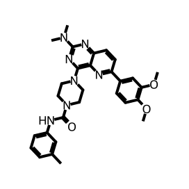 COc1ccc(-c2ccc3nc(N(C)C)nc(N4CCN(C(=O)Nc5cccc(C)c5)CC4)c3n2)cc1OC